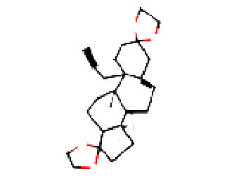 C#CCC12CCC3(CC1=CC[C@@H]1[C@@H]2CC[C@@]2(C)[C@H]1CCC21OCCO1)OCCO3